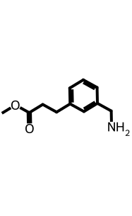 COC(=O)CCc1cccc(CN)c1